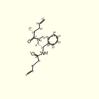 C=CCCC(=O)N[C@H](CN(C)C(=O)[C@H](C)CC=C)c1ccccc1